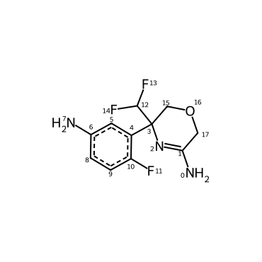 NC1=NC(c2cc(N)ccc2F)(C(F)F)COC1